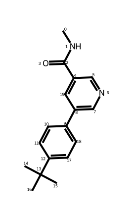 CNC(=O)c1cncc(-c2ccc(C(C)(C)C)cc2)c1